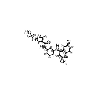 Cc1nn(CC(C)(C)O)cc1C(=O)N[C@@H]1CCC[C@H](Nc2cc(C(F)(F)F)nc3ccc(Cl)cc23)C1